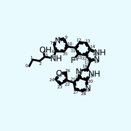 CCCC(O)Nc1cncc(-c2ccc3[nH]nc(-c4nc5c(-c6ccoc6)ccnc5[nH]4)c3c2F)c1